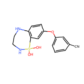 N#Cc1cccc(Oc2ccc3c(c2)S(O)(O)NCCN3)c1